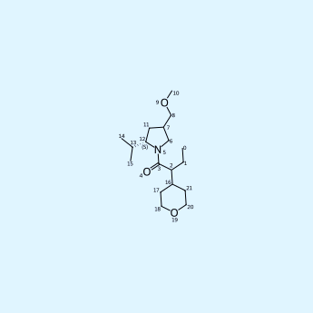 CCC(C(=O)N1CC(COC)C[C@H]1C(C)C)C1CCOCC1